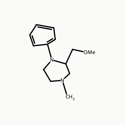 COCC1CN(C)CCN1c1cc[c]cc1